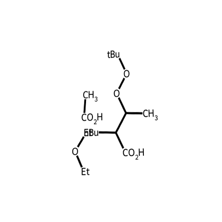 CC(=O)O.CCCCC(C(=O)O)C(C)OOC(C)(C)C.CCOCC